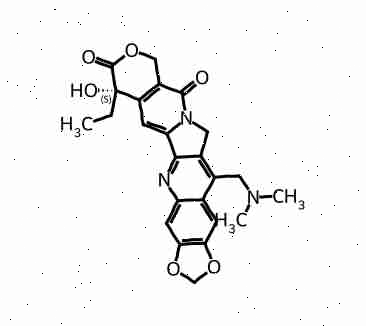 CC[C@@]1(O)C(=O)OCc2c1cc1n(c2=O)Cc2c-1nc1cc3c(cc1c2CN(C)C)OCO3